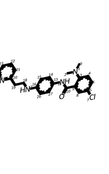 CN(C)c1ccc(Cl)cc1C(=O)Nc1ccc(NCCc2ccccn2)cc1